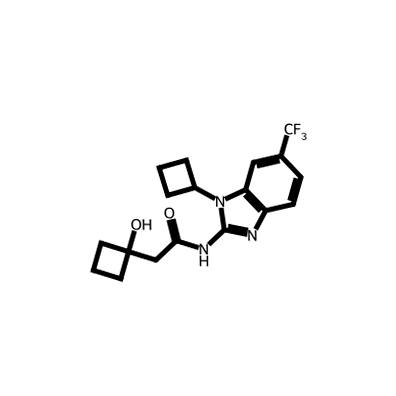 O=C(CC1(O)CCC1)Nc1nc2ccc(C(F)(F)F)cc2n1C1CCC1